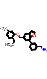 NCc1cccc(-c2cc(COc3cc(C(=O)O)ccc3CC(=O)O)cc3ccoc23)c1